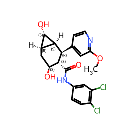 COc1cc([C@H]2[C@H](C(=O)Nc3ccc(Cl)c(Cl)c3)[C@@H](O)C[C@H]3[C@H](O)[C@H]32)ccn1